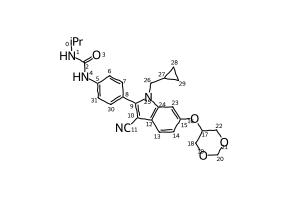 CC(C)NC(=O)Nc1ccc(-c2c(C#N)c3ccc(OC4COCOC4)cc3n2CC2CC2)cc1